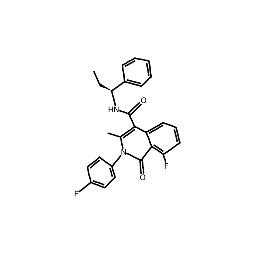 CC[C@H](NC(=O)c1c(C)n(-c2ccc(F)cc2)c(=O)c2c(F)cccc12)c1ccccc1